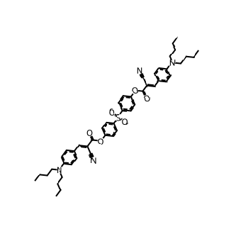 CCCCN(CCCC)c1ccc(/C=C(\C#N)C(=O)Oc2ccc(S(=O)(=O)c3ccc(OC(=O)/C(C#N)=C/c4ccc(N(CCCC)CCCC)cc4)cc3)cc2)cc1